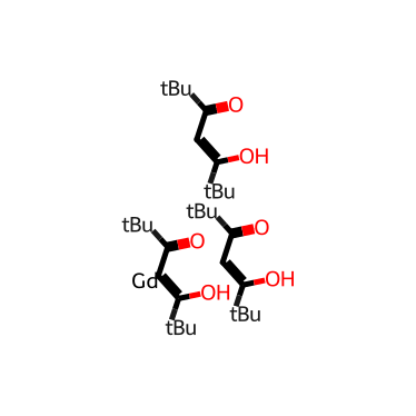 CC(C)(C)C(=O)C=C(O)C(C)(C)C.CC(C)(C)C(=O)C=C(O)C(C)(C)C.CC(C)(C)C(=O)C=C(O)C(C)(C)C.[Gd]